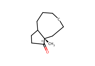 C[C@]12CCCCCCC1CCC2=O